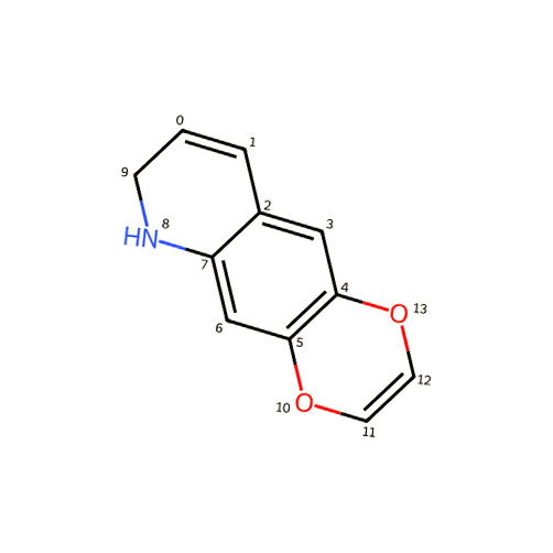 C1=Cc2cc3c(cc2NC1)OC=CO3